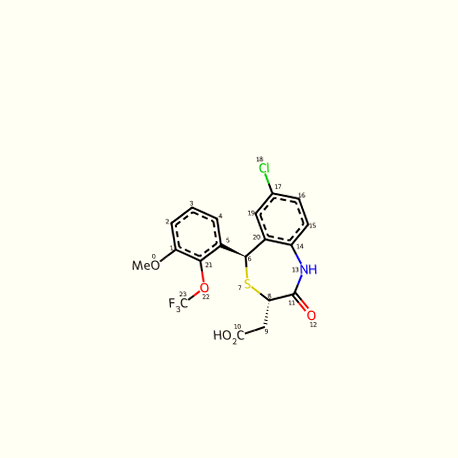 COc1cccc([C@@H]2S[C@@H](CC(=O)O)C(=O)Nc3ccc(Cl)cc32)c1OC(F)(F)F